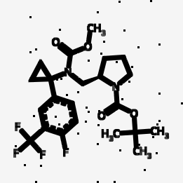 COC(=O)N(C[C@H]1CCCN1C(=O)OC(C)(C)C)C1(c2ccc(F)c(C(F)(F)F)c2)CC1